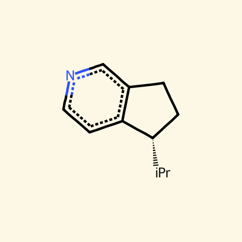 CC(C)[C@H]1CCc2cnccc21